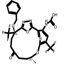 C[C@@H]1CCC(=O)CC[C@](OCc2ccccc2)(C(F)(F)F)c2nnc(o2)-c2nc(c(C(F)(F)F)cc2NC(=O)O)O1